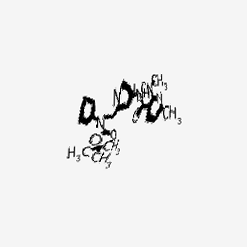 Cc1ccc(C(=O)Nc2ccnc(CCN(C(=O)OC(C)(C)C)c3ccccc3)c2)c(N(C)C)n1